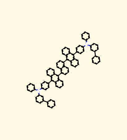 c1ccc(-c2cccc(N(c3ccccc3)c3ccc(-c4c5ccccc5c(-c5cccc6c(-c7c8ccccc8c(-c8ccc(N(c9ccccc9)c9cccc(-c%10ccccc%10)c9)cc8)c8ccccc78)cccc56)c5ccccc45)cc3)c2)cc1